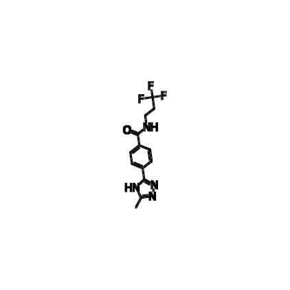 Cc1nnc(-c2ccc(C(=O)NCCC(F)(F)F)cc2)[nH]1